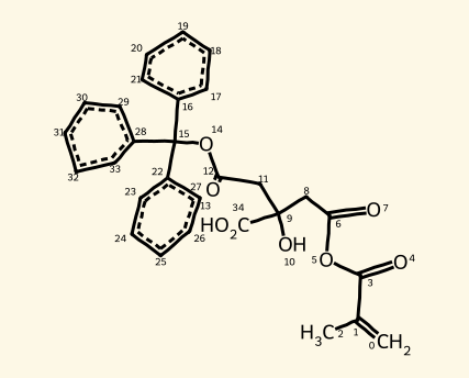 C=C(C)C(=O)OC(=O)CC(O)(CC(=O)OC(c1ccccc1)(c1ccccc1)c1ccccc1)C(=O)O